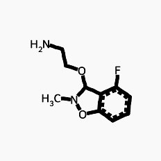 CN1Oc2cccc(F)c2C1OCCN